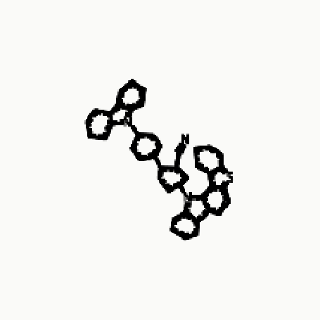 N#Cc1cc(-n2c3ccccc3c3ccc4sc5ccccc5c4c32)ccc1-c1ccc(-n2c3ccccc3c3ccccc32)cc1